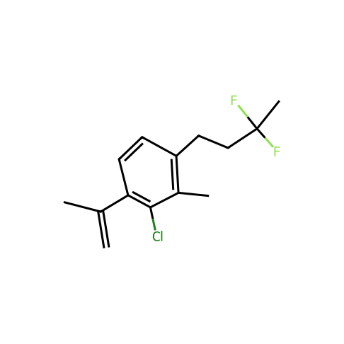 C=C(C)c1ccc(CCC(C)(F)F)c(C)c1Cl